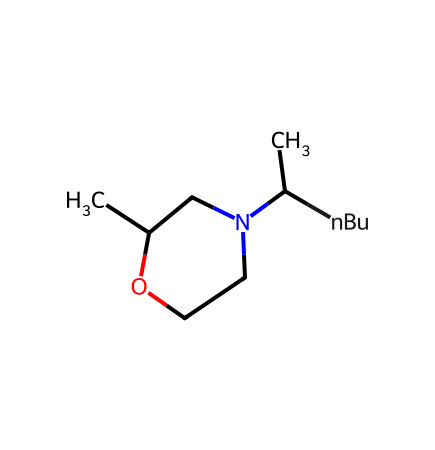 CCCCC(C)N1CCOC(C)C1